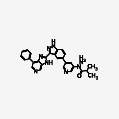 CC(C)C(=O)N(N)c1cncc(-c2ccc3[nH]nc(-c4nc5c(-c6ccccc6)cncc5[nH]4)c3c2)c1